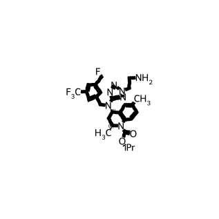 Cc1ccc2c(c1)[C@@H](N(Cc1cc(CF)cc(C(F)(F)F)c1)c1nnn(CCN)n1)C[C@@H](C)N2C(=O)OC(C)C